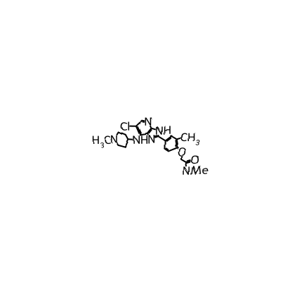 CNC(=O)COc1ccc(-c2nc3c(NC4CCN(C)CC4)c(Cl)cnc3[nH]2)cc1C